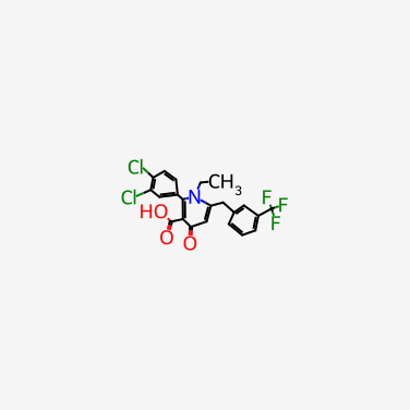 CCn1c(Cc2cccc(C(F)(F)F)c2)cc(=O)c(C(=O)O)c1-c1ccc(Cl)c(Cl)c1